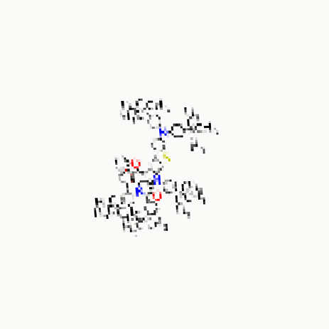 CC(C)(C)c1ccc(N2B3c4oc5ccc(C(C)(C)C)cc5c4N(c4ccc(C(C)(C)C)cc4-c4ccccc4)c4cc5c(oc6ccccc65)c(c43)-c3cc4c(cc32)sc2cc(N(c3ccc(C(C)(C)C)cc3)c3ccc(C(C)(C)C)cc3)ccc24)cc1